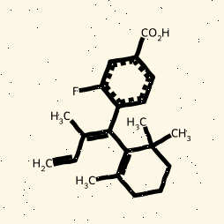 C=C/C(C)=C(\C1=C(C)CCCC1(C)C)c1ccc(C(=O)O)cc1F